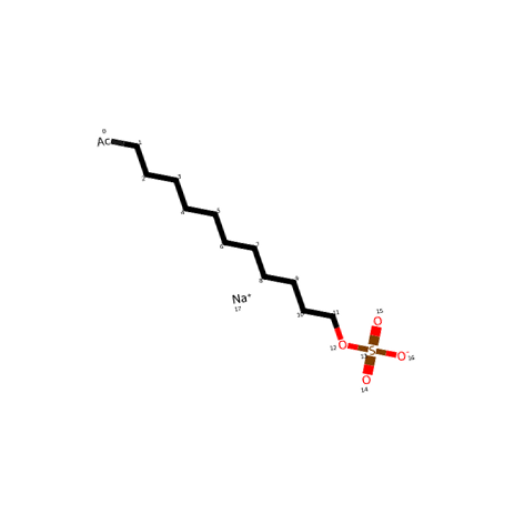 CC(=O)CCCCCCCCCCCOS(=O)(=O)[O-].[Na+]